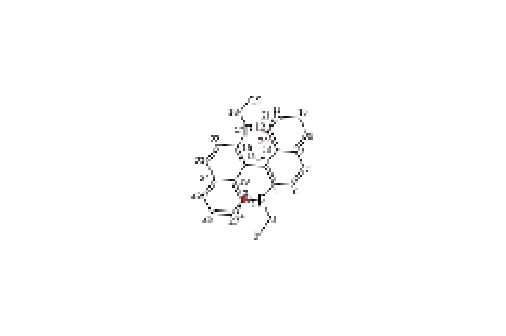 CCP(CC)c1ccc2ccccc2c1-c1c(P(CC)CC)ccc2ccccc12